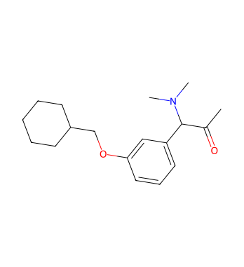 CC(=O)C(c1cccc(OCC2CCCCC2)c1)N(C)C